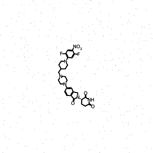 O=C1CC[C@H](N2Cc3cc(N4CCN(CC5CCN(c6cc(F)c([N+](=O)[O-])cc6F)CC5)CC4)ccc3C2=O)C(=O)N1